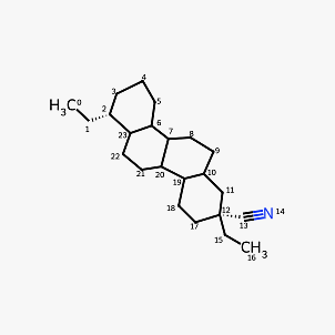 CC[C@@H]1CCCC2C3CCC4C[C@@](C#N)(CC)CCC4C3CCC21